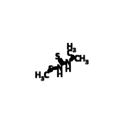 CSNC(=S)NC(C)C